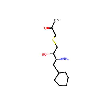 COC(=O)CSC[C@@H](O)[C@@H](N)CC1CCCCC1